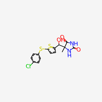 CC1(C(O)c2ccc(Sc3ccc(Cl)cc3)s2)NC(=O)NC1=O